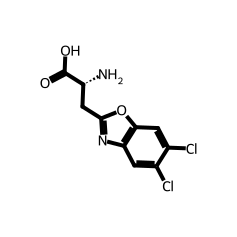 N[C@H](Cc1nc2cc(Cl)c(Cl)cc2o1)C(=O)O